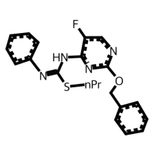 CCCS/C(=N/c1ccccc1)Nc1nc(OCc2ccccc2)ncc1F